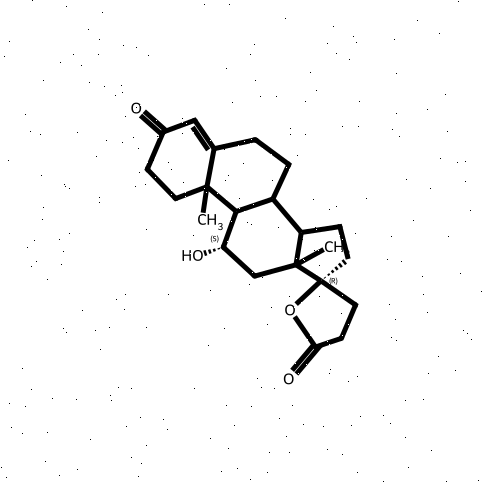 CC12CCC(=O)C=C1CCC1C2[C@@H](O)CC2(C)C1CC[C@@]21CCC(=O)O1